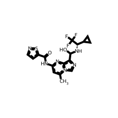 Cc1cc(NC(=O)c2ccns2)nc2c(C(O)N[C@@H](C3CC3)C(F)(F)F)ncn12